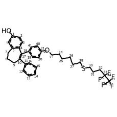 Oc1ccc2c(c1)CCCC(c1ccccc1)=C2c1ccc(OCCCCCCSCCCC(F)(F)C(F)(F)F)cc1